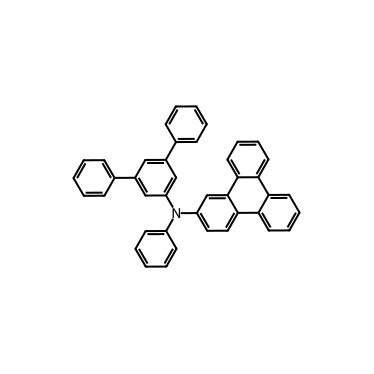 c1ccc(-c2cc(-c3ccccc3)cc(N(c3ccccc3)c3ccc4c5ccccc5c5ccccc5c4c3)c2)cc1